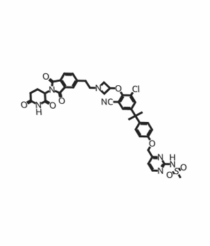 CC(C)(c1ccc(OCc2ccnc(NS(C)(=O)=O)n2)cc1)c1cc(Cl)c(OC2CN(CCc3ccc4c(c3)C(=O)N(C3CCC(=O)NC3=O)C4=O)C2)c(C#N)c1